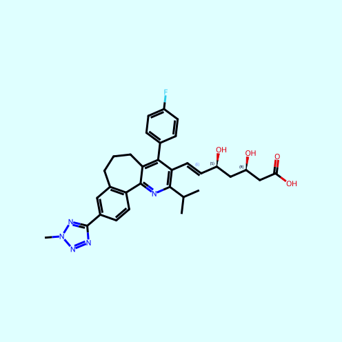 CC(C)c1nc2c(c(-c3ccc(F)cc3)c1/C=C/[C@@H](O)C[C@@H](O)CC(=O)O)CCCc1cc(-c3nnn(C)n3)ccc1-2